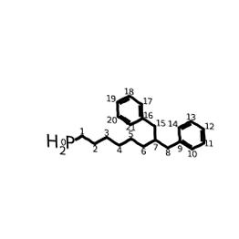 PCCCCCCC(Cc1ccccc1)Cc1ccccc1